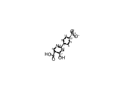 O=C(O)c1cnc(-c2ccc([N+](=O)[O-])cc2)nc1O